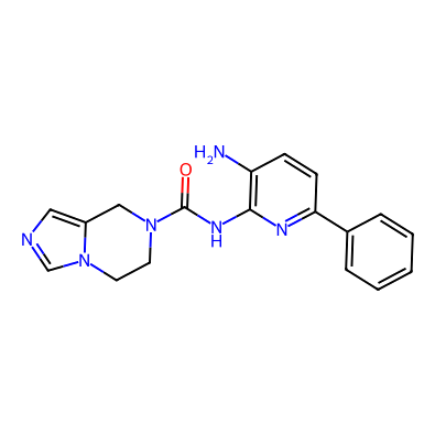 Nc1ccc(-c2ccccc2)nc1NC(=O)N1CCn2cncc2C1